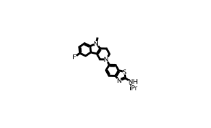 CC(C)Nc1nc2ccc(N3CCC4=C(C3)C3CC(F)=CC=C3N4C)cc2s1